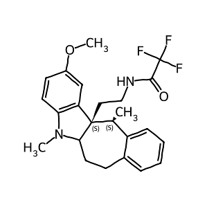 COc1ccc2c(c1)[C@@]1(CCNC(=O)C(F)(F)F)C(CCc3ccccc3[C@@H]1C)N2C